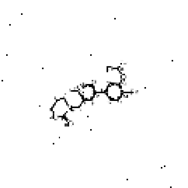 O=C1OCCCN1Cc1cc(-c2ccc(F)c(OC(F)F)c2)cnc1F